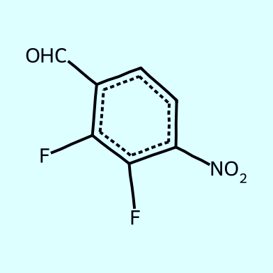 O=Cc1ccc([N+](=O)[O-])c(F)c1F